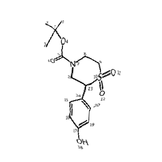 CC(C)(C)OC(=O)N1CCS(=O)(=O)C(c2ccc(O)cc2)C1